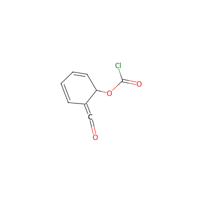 O=C=C1C=CC=CC1OC(=O)Cl